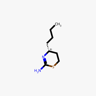 CCCC[C@@H]1CCSC(N)=N1